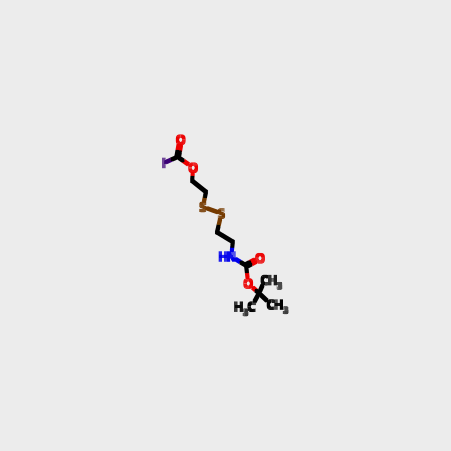 CC(C)(C)OC(=O)NCCSSCCOC(=O)I